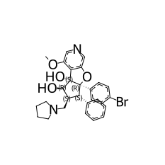 COc1cncc2c1[C@]1(O)[C@H](O)[C@H](CN3CCCC3)[C@@H](c3ccccc3)[C@]1(c1ccc(Br)cc1)O2